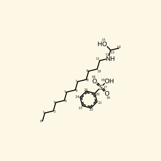 CCCCCCCCCCCCNC(C)O.O=S(=O)(O)c1ccccc1